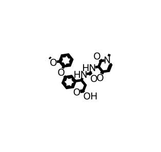 COc1ccccc1Oc1cccc(C(CC(=O)O)NC(=O)NC2C(=O)C=CN(C)C2=O)c1